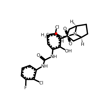 CCN[C@H]1C[C@H]2CC[C@@H](C1)N2S(=O)(=O)c1c(Cl)ccc(NC(=O)Nc2cccc(F)c2Cl)c1O